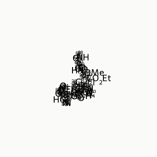 CCOC(=O)C(Cl)Cc1cc(-n2nc(C)n(C(F)F)c2=O)c(F)cc1Cl.CCc1cc(C)cc(CC)c1-c1c(OC(=O)C(C)(C)C)n2n(c1=O)CCOCC2.COc1ccccc1C(=O)NS(=O)(=O)c1ccc(C(=O)NC2CC2)cc1.Cc1c(C(=O)c2cnn(C)c2O)ccc(S(C)(=O)=O)c1C1=NOCC1